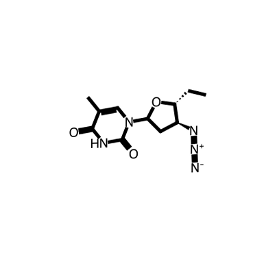 CC[C@H]1OC(n2cc(C)c(=O)[nH]c2=O)C[C@@H]1N=[N+]=[N-]